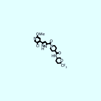 COc1cc(-c2cc(C(=O)N3CCC(C(=O)N[C@@H]4CC[C@@H](C(F)(F)F)OC4)CC3)n[nH]2)c(Cl)cn1